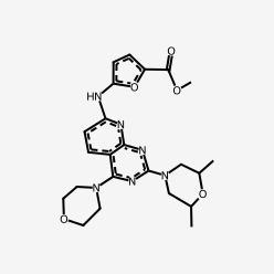 COC(=O)c1ccc(Nc2ccc3c(N4CCOCC4)nc(N4CC(C)OC(C)C4)nc3n2)o1